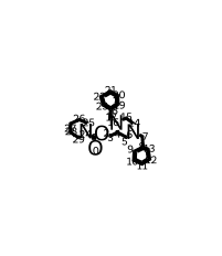 O=C(OCC1CN(Cc2ccccc2)CCN1Cc1ccccc1)N1CCCCC1